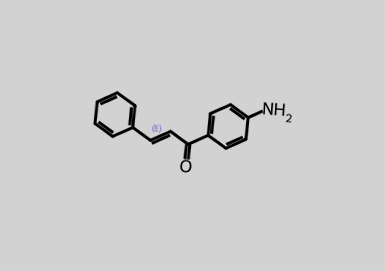 Nc1ccc(C(=O)/C=C/c2ccccc2)cc1